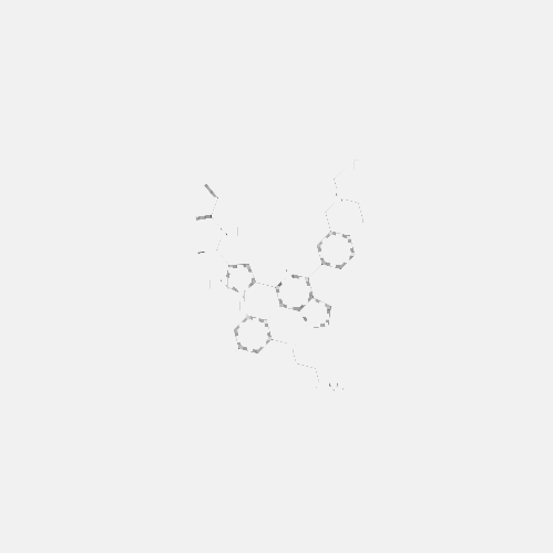 C=CC(=O)N[C@H](C)c1cc(-c2nc(-c3ccc4c(c3)CN(CC(F)(F)F)CC4)c3ccsc3c2-c2c(F)cc(F)cc2OCCOC)n[nH]1